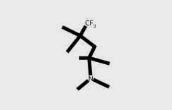 CN(C)C(C)(C)CC(C)(C)C(F)(F)F